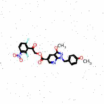 COc1ccc(Cn2nc(OC)c3cc(C(=O)OCC(=O)c4c(F)ccc([N+](=O)[O-])c4F)cnc32)cc1